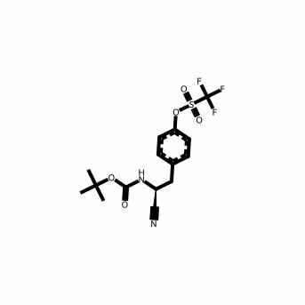 CC(C)(C)OC(=O)N[C@H](C#N)Cc1ccc(OS(=O)(=O)C(F)(F)F)cc1